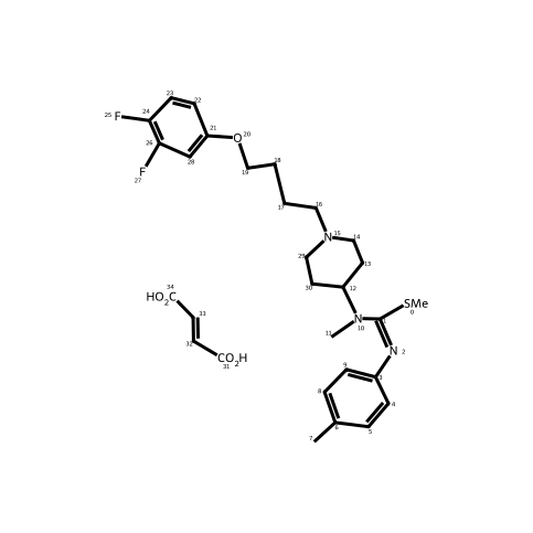 CSC(=Nc1ccc(C)cc1)N(C)C1CCN(CCCCOc2ccc(F)c(F)c2)CC1.O=C(O)/C=C/C(=O)O